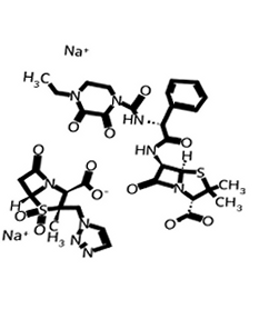 CCN1CCN(C(=O)N[C@@H](C(=O)N[C@@H]2C(=O)N3[C@@H]2SC(C)(C)[C@@H]3C(=O)[O-])c2ccccc2)C(=O)C1=O.C[C@]1(Cn2ccnn2)[C@H](C(=O)[O-])N2C(=O)C[C@H]2S1(=O)=O.[Na+].[Na+]